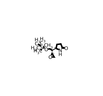 CC(C)(C)[Si](C)(C)OCC([C@@H]1CO1)[C@H]1CCC(=O)N1